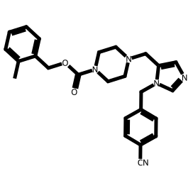 Cc1ccccc1COC(=O)N1CCN(Cc2cncn2Cc2ccc(C#N)cc2)CC1